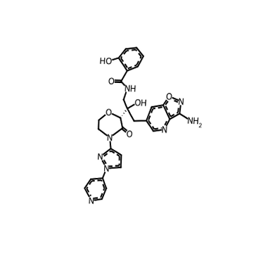 Nc1noc2cc(CC(O)(CNC(=O)c3ccccc3O)[C@H]3OCCN(c4ccn(-c5ccncc5)n4)C3=O)cnc12